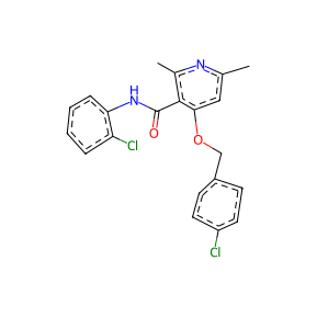 Cc1cc(OCc2ccc(Cl)cc2)c(C(=O)Nc2ccccc2Cl)c(C)n1